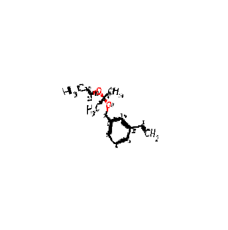 C=Cc1cccc(COC(C)(C)OCC)c1